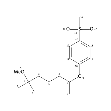 COC(C)(C)CCCC(C)Oc1ccc(S(C)(=O)=O)cc1